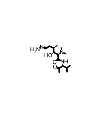 CC(=O)[C@H](NC(=O)[C@@H]([C@H](O)[C@H](C)C/C=N/N)N(C)C)C(C)C